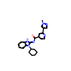 Cn1cc(-c2cc(C(=O)/N=c3\[nH]c4ccccc4n3C3CCCCC3)ccn2)cn1